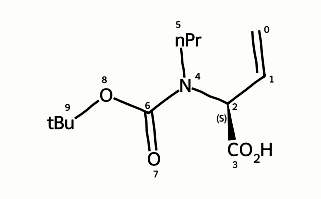 C=C[C@@H](C(=O)O)N(CCC)C(=O)OC(C)(C)C